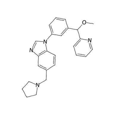 COC(c1cccc(-n2cnc3cc(CN4CCCC4)ccc32)c1)c1ccccn1